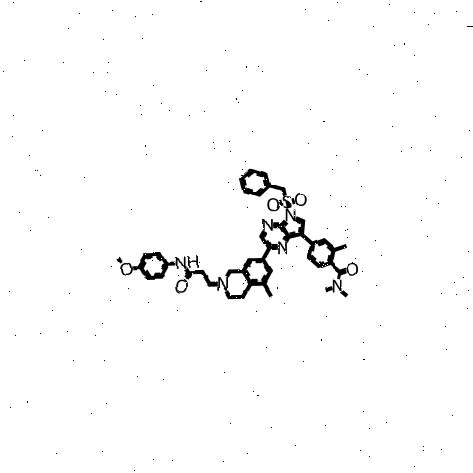 COc1ccc(NC(=O)CCN2CCc3c(C)cc(-c4cnc5c(n4)c(-c4ccc(C(=O)N(C)C)c(C)c4)cn5S(=O)(=O)Cc4ccccc4)cc3C2)cc1